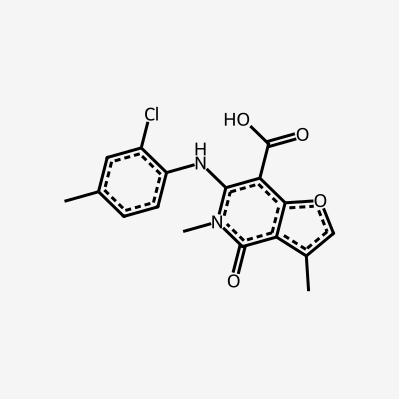 Cc1ccc(Nc2c(C(=O)O)c3occ(C)c3c(=O)n2C)c(Cl)c1